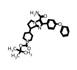 CC(C)(C)OC(=O)N1CCC(C2CCn3c2nc(-c2ccc(Oc4ccccc4)cc2)c3C(N)=O)CC1